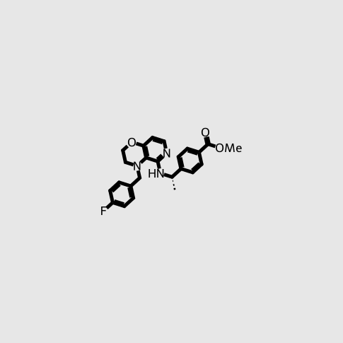 COC(=O)c1ccc([C@H](C)Nc2nccc3c2N(Cc2ccc(F)cc2)CCO3)cc1